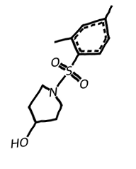 Cc1ccc(S(=O)(=O)N2CCC(O)CC2)c(C)c1